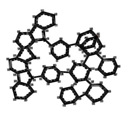 c1ccc(-c2cccc(-n3c4ccccc4c4ccc5c6ccc7c8ccccc8n(-c8ccc(-c9nc(-c%10ccccc%10-c%10ccccc%10)nc(-c%10ccccc%10-c%10ccccc%10)n9)cc8)c7c6sc5c43)c2)cc1